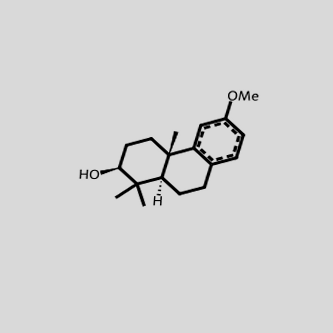 COc1ccc2c(c1)[C@@]1(C)CC[C@H](O)C(C)(C)[C@@H]1CC2